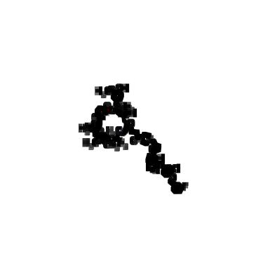 CO[C@H]1C[C@@H](C)C/C(C)=C/[C@@H](CCCC(=O)N2CCN(Cc3ccc(-c4ccc5ncnc(Nc6ccc(OCc7cccc(F)c7)c(Cl)c6)c5c4)o3)CC2)C(=O)C[C@H](O)[C@@H](C)[C@@H](/C(C)=C/[C@@H]2CC[C@@H](O)[C@H](OC)C2)OC(=O)[C@@H]2CCCCN2C(=O)C(=O)[C@]2(O)O[C@H]1[C@@H](OC)C[C@H]2C